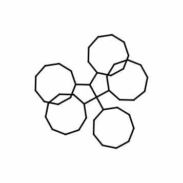 C1CCCCC([C](C2CCCCCCCC2)C(C2CCCCCCCC2)(C2CCCCCCCC2)C2CCCCCCCC2)CCC1